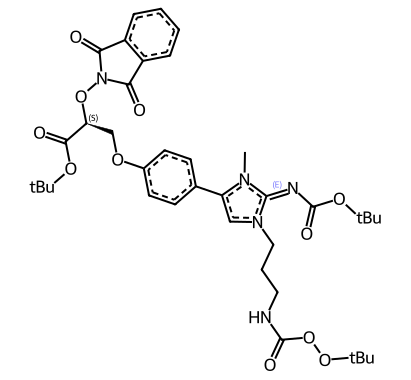 Cn1c(-c2ccc(OC[C@H](ON3C(=O)c4ccccc4C3=O)C(=O)OC(C)(C)C)cc2)cn(CCCNC(=O)OOC(C)(C)C)/c1=N\C(=O)OC(C)(C)C